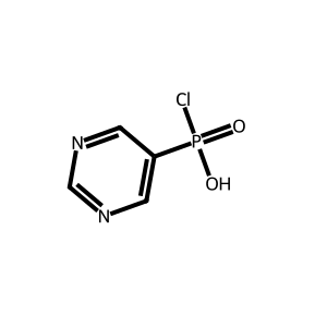 O=P(O)(Cl)c1cncnc1